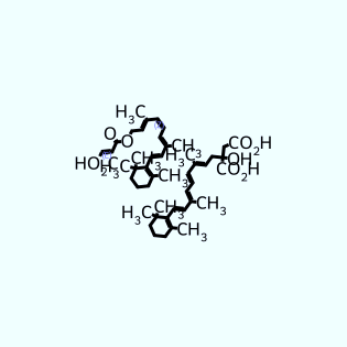 CC(C=CC1=C(C)CCCC1(C)C)=C/C=C\C(C)=CCOC(=O)/C=C/C(=O)O.CC(C=CC1=C(C)CCCC1(C)C)=CC=CC(C)=CCC(O)(CC(=O)O)C(=O)O